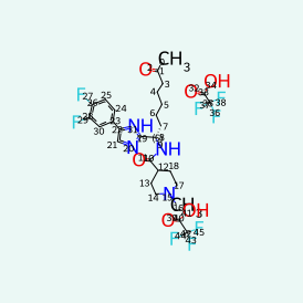 CC(=O)CCCCC[C@H](NC(=O)C1CCN(C)CC1)c1ncc(-c2ccc(F)c(F)c2)[nH]1.O=C(O)C(F)(F)F.O=C(O)C(F)(F)F